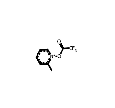 Cc1cccc[n+]1OC(=O)C(F)(F)F